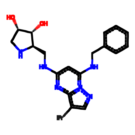 CC(C)c1cnn2c(NCc3ccccc3)cc(NC[C@H]3NC[C@H](O)[C@@H]3O)nc12